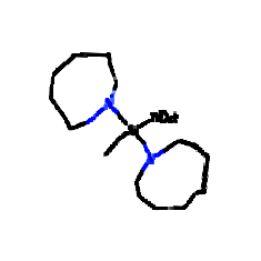 CCCCCCCC[Si](C)(N1CCCCCC1)N1CCCCCC1